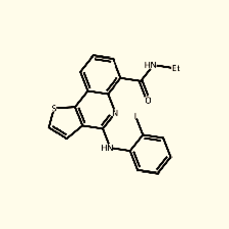 CCNC(=O)c1cccc2c1nc(Nc1ccccc1I)c1ccsc12